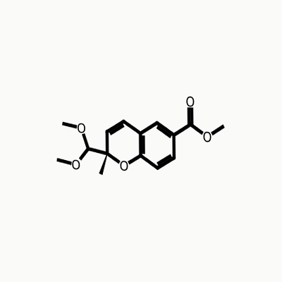 COC(=O)c1ccc2c(c1)C=C[C@@](C)(C(OC)OC)O2